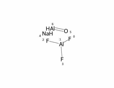 [F][Al]([F])[F].[NaH].[O]=[AlH]